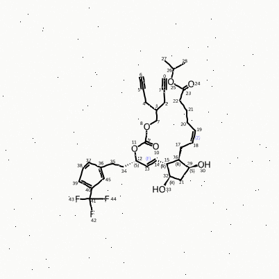 C#CCC(CC#C)COC(=O)O[C@H](/C=C/[C@@H]1[C@@H](C/C=C\CCCC(=O)OC(C)C)[C@@H](O)C[C@H]1O)CCc1cccc(C(F)(F)F)c1